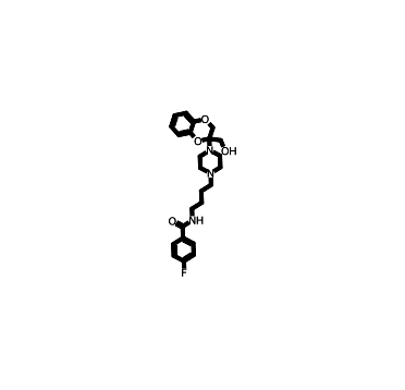 O=C(NCCCCN1CCN(C2(CO)COc3ccccc3O2)CC1)c1ccc(F)cc1